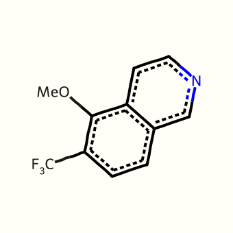 COc1c(C(F)(F)F)ccc2cnccc12